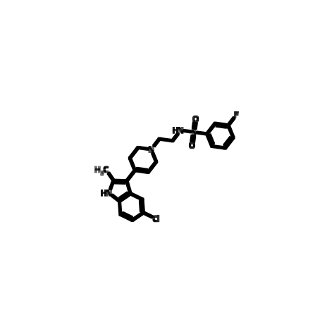 Cc1[nH]c2ccc(Cl)cc2c1C1=CCN(CCNS(=O)(=O)c2cccc(F)c2)CC1